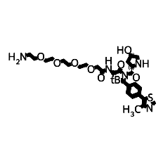 Cc1ncsc1-c1ccc(CN(C(=O)[C@@H]2C[C@@H](O)CN2)C(=O)[C@@H](NC(=O)COCCOCCOCCOCCN)C(C)(C)C)cc1